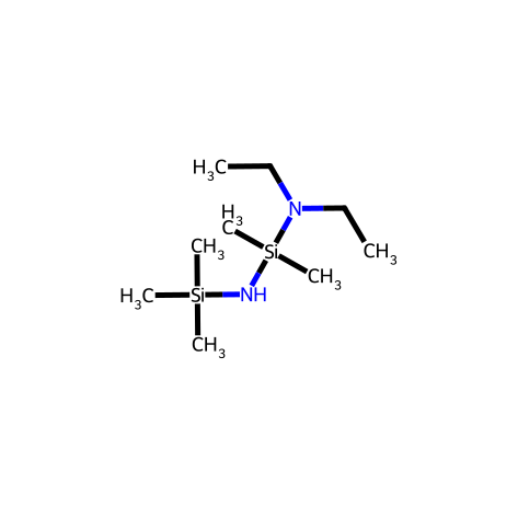 CCN(CC)[Si](C)(C)N[Si](C)(C)C